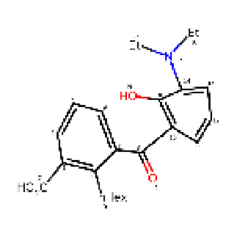 CCCCCCc1c(C(=O)O)cccc1C(=O)c1cccc(N(CC)CC)c1O